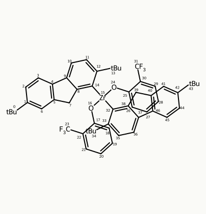 CC(C)(C)c1ccc2c(c1)Cc1c-2ccc(C(C)(C)C)[c]1[Zr]([O]c1ccccc1C(F)(F)F)([O]c1ccccc1C(F)(F)F)[c]1c(C(C)(C)C)ccc2c1Cc1cc(C(C)(C)C)ccc1-2